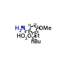 CCCCC(CC)C(=O)O.COc1ccc(CN)cc1